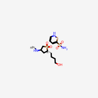 CCCNC1C[C@@H](CCCCO)S(=O)(=O)C1.NS(=O)(=O)C1=CC=CNS1